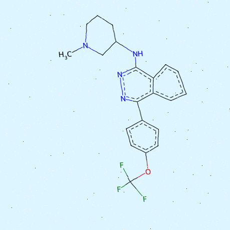 CN1CCCC(Nc2nnc(-c3ccc(OC(F)(F)F)cc3)c3ccccc23)C1